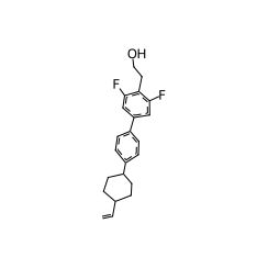 C=CC1CCC(c2ccc(-c3cc(F)c(CCO)c(F)c3)cc2)CC1